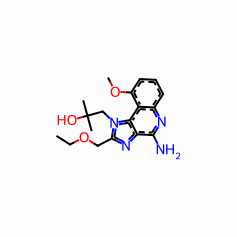 CCOCc1nc2c(N)nc3cccc(OC)c3c2n1CC(C)(C)O